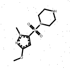 COc1cc(S(=O)(=O)N2CCNCC2)n(C)n1